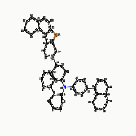 c1ccc(-c2ccccc2N(c2ccc(-c3ccc4c(c3)sc3ccc5ccccc5c34)cc2)c2ccc(-c3cccc4ccccc34)cc2)cc1